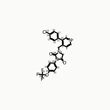 O=C1CN(Cc2ccncc2-c2ccc(Cl)cc2)C(=O)N1c1ccc(OC(F)(F)F)cc1